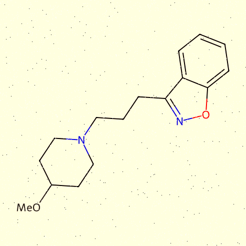 COC1CCN(CCCc2noc3ccccc23)CC1